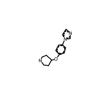 c1cn(-c2ccc(OC3CC[N]CC3)cc2)cn1